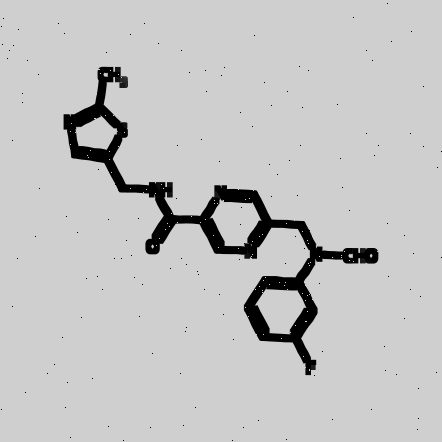 Cc1ncc(CNC(=O)c2cnc(CN(C=O)c3cccc(F)c3)cn2)s1